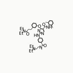 CCN(CC)CCN(C)C(=O)c1ccc(Nc2ncc(C(=O)Nc3c(C)cccc3C)c(Oc3cccc(CCC(=O)N(CC)CC)c3)n2)cc1